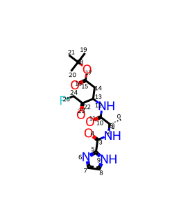 C[C@H](NC(=O)c1ncc[nH]1)C(=O)NC(CC(=O)OC(C)(C)C)C(=O)CF